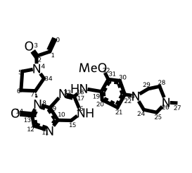 C=CC(=O)N1CC[C@@H](n2c3c(ncc2=O)CNC(Nc2ccc(N4CCN(C)CC4)cc2OC)=N3)C1